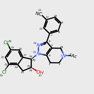 CC(=O)N1CCc2c(c(-c3cccc(C#N)c3)nn2[C@@H]2c3cc(Cl)cc(Cl)c3C[C@@H]2O)C1